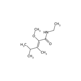 CCNC(=O)/C(OC)=C(\C)C(C)C